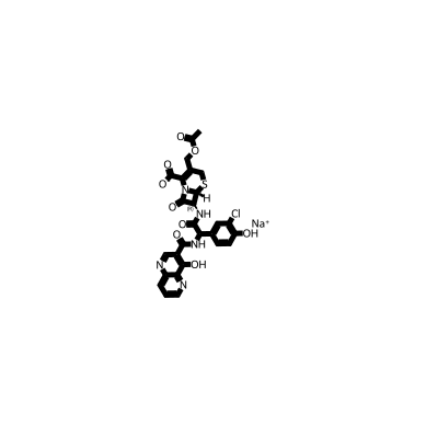 CC(=O)OCC1=C(C(=O)[O-])N2C(=O)[C@@H](NC(=O)C(NC(=O)c3cnc4cccnc4c3O)c3ccc(O)c(Cl)c3)[C@H]2SC1.[Na+]